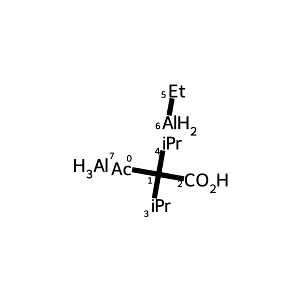 CC(=O)C(C(=O)O)(C(C)C)C(C)C.C[CH2][AlH2].[AlH3]